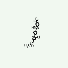 CC(=O)OCc1cnc(-c2ccc(-c3nc4ccc(C(F)(F)F)cc4[nH]3)cc2)c(Cl)c1